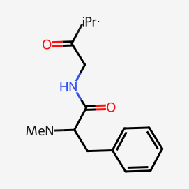 CNC(Cc1ccccc1)C(=O)NCC(=O)[C](C)C